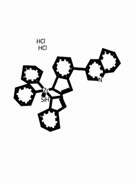 CC1=Cc2c(-c3cnc4ccccc4c3)cccc2[CH]1[Zr](=[SiH2])([c]1ccccc1)([c]1ccccc1)[CH]1C=Cc2ccccc21.Cl.Cl